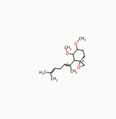 COC1CC[C@]2(CO2)C(/C(C)=C/CC=C(C)C)C1OC